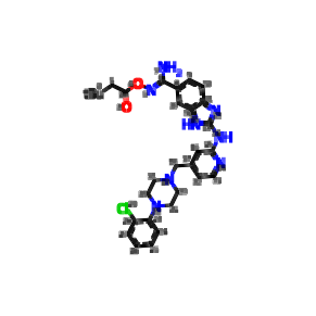 CC(C)(C)CC(=O)ON=C(N)c1ccc2nc(Nc3cc(CN4CCN(c5ccccc5Cl)CC4)ccn3)[nH]c2c1